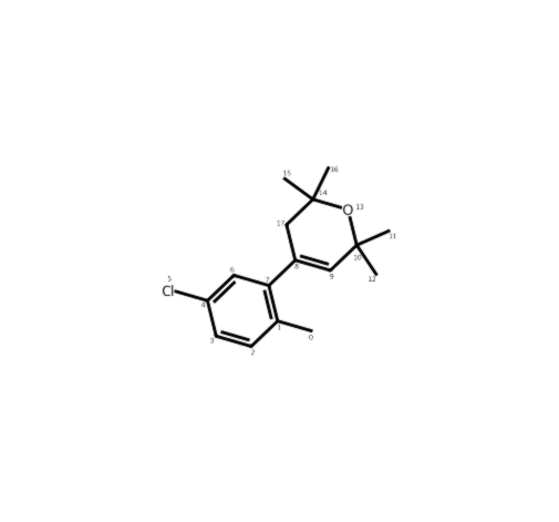 Cc1ccc(Cl)cc1C1=CC(C)(C)OC(C)(C)C1